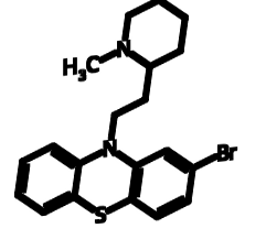 CN1CCCCC1CCN1c2ccccc2Sc2ccc(Br)cc21